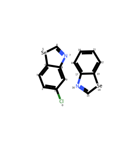 Clc1ccc2[se]cnc2c1.c1ccc2[se]cnc2c1